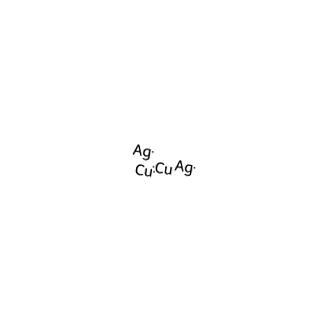 [Ag].[Ag].[Cu].[Cu]